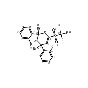 O=S(=O)(C1=CC(Br)(c2ccccc2F)[CH]C(Br)(c2ccccc2F)C1)C(F)(F)F